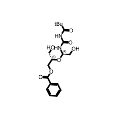 CC(C)(C)C(=O)NC(=O)N[C@@H](CO)O[C@@H](CO)COC(=O)c1ccccc1